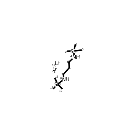 C[Si](C)(C)NCCCN[Si](C)(C)C.[Li].[Li]